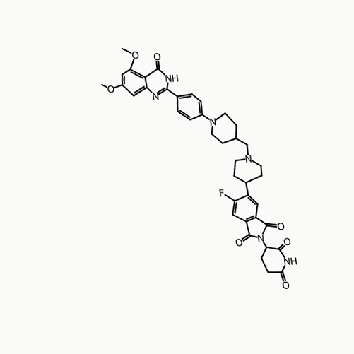 COc1cc(OC)c2c(=O)[nH]c(-c3ccc(N4CCC(CN5CCC(c6cc7c(cc6F)C(=O)N(C6CCC(=O)NC6=O)C7=O)CC5)CC4)cc3)nc2c1